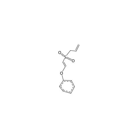 C=CCS(=O)(=O)C=COc1ccccc1